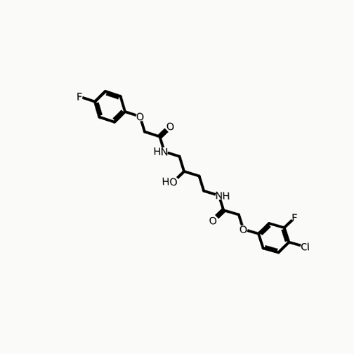 O=C(COc1ccc(Cl)c(F)c1)NCCC(O)CNC(=O)COc1ccc(F)cc1